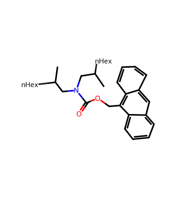 CCCCCCC(C)CN(CC(C)CCCCCC)C(=O)OCc1c2ccccc2cc2ccccc12